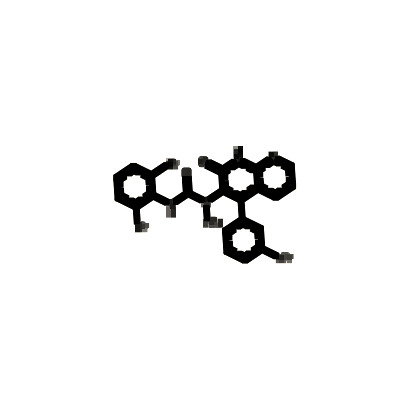 CCCCN(C(=O)Nc1c(C(C)C)cccc1C(C)C)c1c(-c2cccc(CCC)c2)c2cccnc2[nH]c1=O